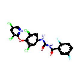 O=C(NC(=O)c1cc(F)ccc1F)Nc1cc(Cl)c(Oc2ncc(Cl)cc2Cl)c(Cl)c1